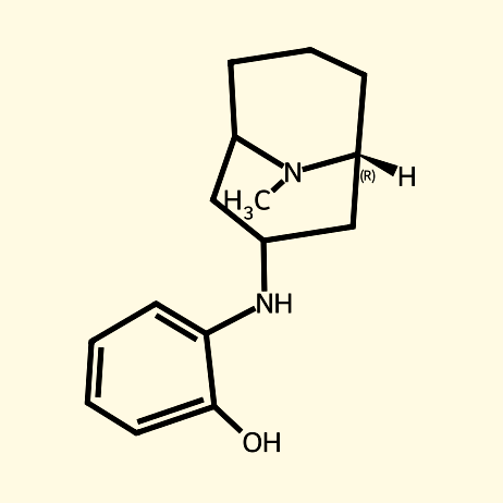 CN1C2CCC[C@@H]1CC(Nc1ccccc1O)C2